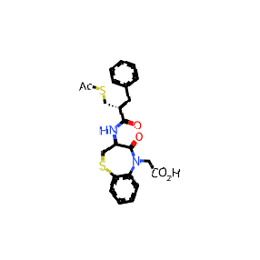 CC(=O)SC[C@H](Cc1ccccc1)C(=O)NC1CSc2ccccc2N(CC(=O)O)C1=O